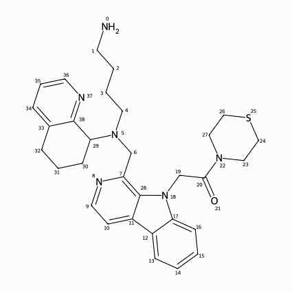 NCCCCN(Cc1nccc2c3ccccc3n(CC(=O)N3CCSCC3)c12)C1CCCc2cccnc21